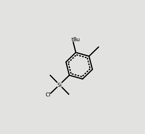 Cc1ccc([Si](C)(C)Cl)cc1C(C)(C)C